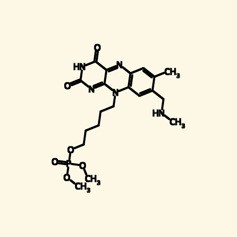 CNCc1cc2c(cc1C)nc1c(=O)[nH]c(=O)nc-1n2CCCCCOP(=O)(OC)OC